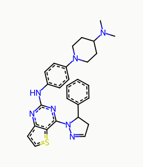 CN(C)C1CCN(c2ccc(Nc3nc(N4N=CCC4c4ccccc4)c4sccc4n3)cc2)CC1